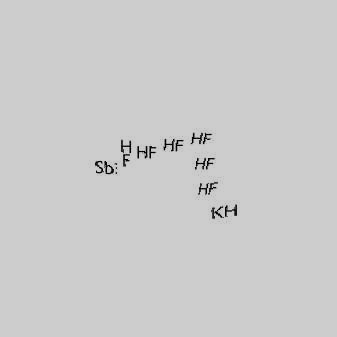 F.F.F.F.F.F.[KH].[Sb]